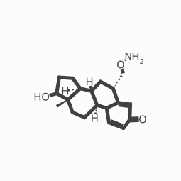 C[C@]12CC[C@@H]3C4C=CC(=O)C=C4[C@@H](CON)C[C@H]3[C@@H]1CCC2O